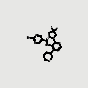 CC(C)c1ncc(C(=O)Nc2c(C3=CCCOC3)ccnc2N2CCC(F)(F)C2)cn1